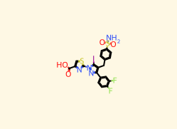 NS(=O)(=O)c1ccc(Cc2c(-c3ccc(F)c(F)c3)nn(-c3nc(C(=O)O)cs3)c2I)cc1